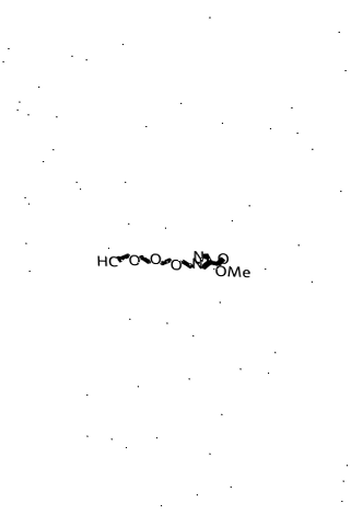 C#CCOCCOCCOCCn1cc(C(=O)OC)cn1